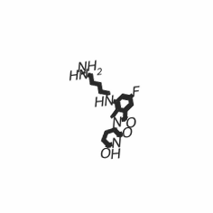 NNCCCCCNc1cc(F)cc2c1CN(C1CCC(=O)NC1=O)C2=O